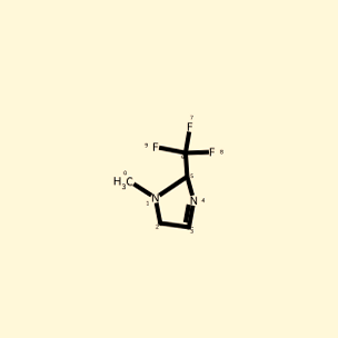 CN1C[C]=NC1C(F)(F)F